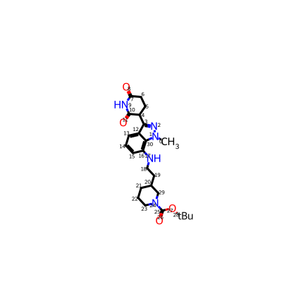 Cn1nc(C2CCC(=O)NC2=O)c2cccc(NCCC3CCCN(C(=O)OC(C)(C)C)C3)c21